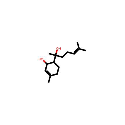 CC(C)=CCCC(C)(O)C1CCC(C)=CC1O